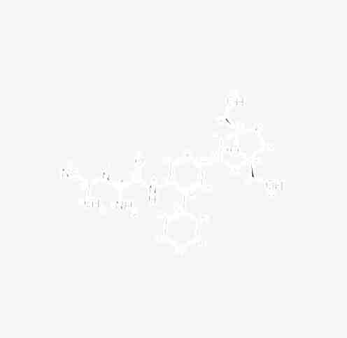 CC(C#N)/N=C(\N)C(=O)Nc1ccc(C2C[C@]3(CO)CC[C@](CO)(C2)O3)cc1C1=CCCCC1